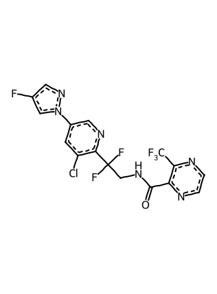 O=C(NCC(F)(F)c1ncc(-n2cc(F)cn2)cc1Cl)c1nccnc1C(F)(F)F